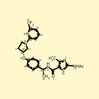 CC(=O)Nc1nc(C)c(C(=O)N[C@@H](C)c2ccc(O[C@@H]3CCN(c4cccc(C(F)(F)F)n4)C3)cc2)s1